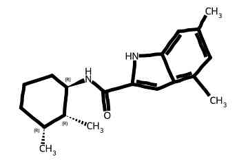 Cc1cc(C)c2cc(C(=O)N[C@@H]3CCC[C@@H](C)[C@H]3C)[nH]c2c1